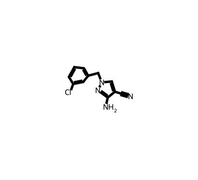 N#Cc1cn(Cc2cccc(Cl)c2)nc1N